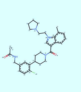 Cc1cccc2c(C(=O)N3CCC(c4cc(CNC(=O)C(F)(F)F)ccc4F)CC3)cn(CCN3CCCC3)c12